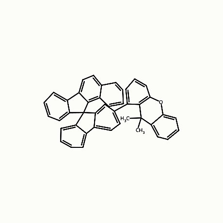 CC1(C)c2ccccc2Oc2cccc(-c3ccc4c(c3)C3(c5ccccc5-4)c4ccccc4-c4ccc5ccccc5c43)c21